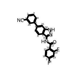 N#Cc1cccc(-c2ccc3c(NC(=O)c4ccc(F)cc4F)n[nH]c3c2)c1